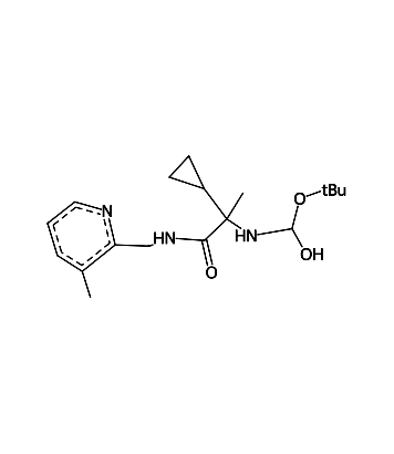 Cc1cccnc1CNC(=O)C(C)(NC(O)OC(C)(C)C)C1CC1